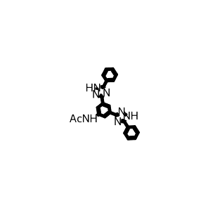 CC(=O)Nc1cc(-c2n[nH]c(-c3ccccc3)n2)cc(-c2n[nH]c(-c3ccccc3)n2)c1